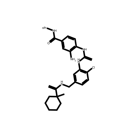 C=C(Nc1ccc(C(=O)NCCC)cc1N)Nc1cc(CNC(=C)C2(C)CCCCC2)ccc1Cl